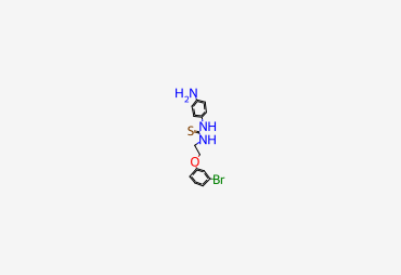 Nc1ccc(NC(=S)NCCOc2cccc(Br)c2)cc1